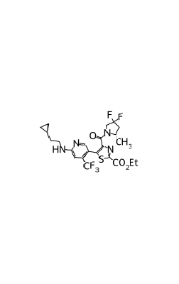 CCOC(=O)c1nc(C(=O)N2CC(F)(F)C[C@@H]2C)c(-c2cnc(NCCC3CC3)cc2C(F)(F)F)s1